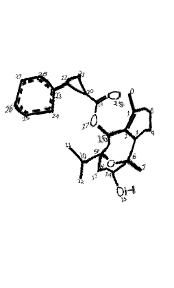 CC1=C2C(CC1)C1(C)OC(C(C)C)(CC1O)C2OC(=O)C1CC1c1ccccc1